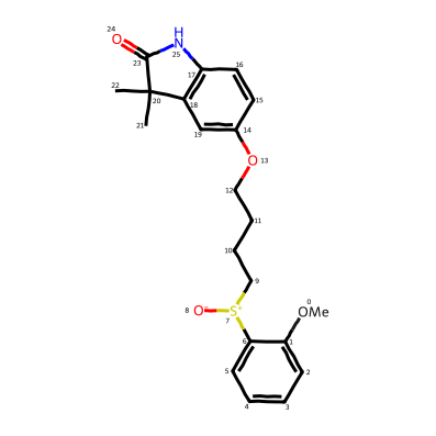 COc1ccccc1[S+]([O-])CCCCOc1ccc2c(c1)C(C)(C)C(=O)N2